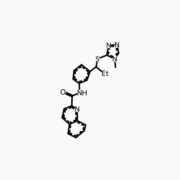 CCC(Sc1nncn1C)c1cccc(NC(=O)c2ccc3ccccc3n2)c1